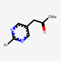 COC(=O)Cc1cnc(C(C)=O)nc1